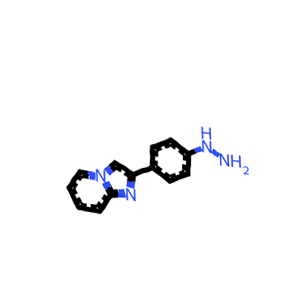 NNc1ccc(-c2cn3ccccc3n2)cc1